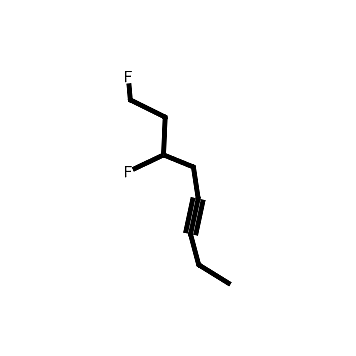 CCC#CCC(F)CCF